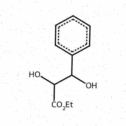 CCOC(=O)C(O)C(O)c1ccccc1